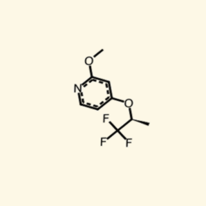 COc1cc(O[C@@H](C)C(F)(F)F)ccn1